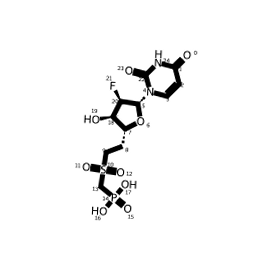 O=c1ccn([C@@H]2O[C@H](CCS(=O)(=O)CP(=O)(O)O)[C@@H](O)[C@H]2F)c(=O)[nH]1